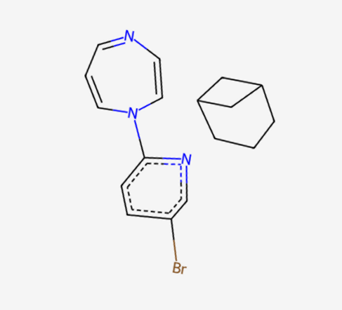 Brc1ccc(N2C=CC=NC=C2)nc1.C1CC2CC(C1)C2